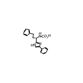 O=C(O)N[C@H](CCc1ccccc1)c1nc(-c2ccccc2)c[nH]1